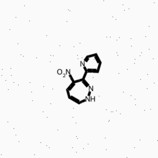 O=[N+]([O-])C1=CC=CNN=C1c1ccccn1